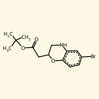 CC(C)(C)OC(=O)CC1CNc2cc(Br)ccc2O1